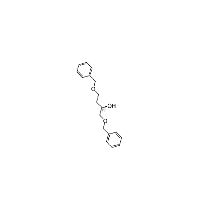 O[C@H](CCOCc1ccccc1)COCc1ccccc1